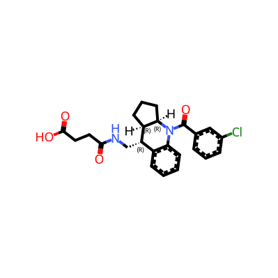 O=C(O)CCC(=O)NC[C@H]1c2ccccc2N(C(=O)c2cccc(Cl)c2)[C@@H]2CCC[C@@H]21